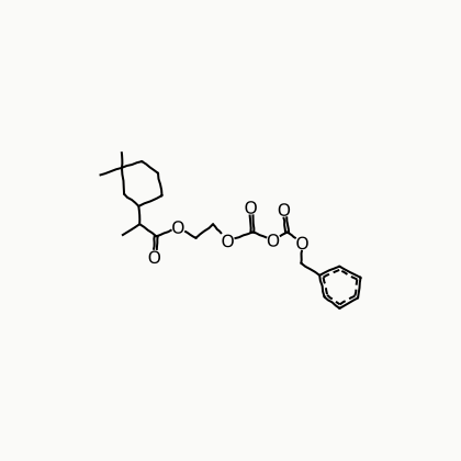 CC(C(=O)OCCOC(=O)OC(=O)OCc1ccccc1)C1CCCC(C)(C)C1